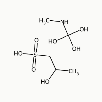 CC(O)CS(=O)(=O)O.CNC(O)(O)O